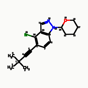 C[Si](C)(C)C#Cc1ccc2c(cnn2C2CCCCO2)c1Br